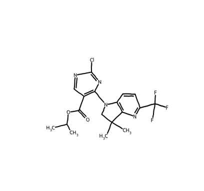 CC(C)OC(=O)c1cnc(Cl)nc1N1CC(C)(C)c2nc(C(F)(F)F)ccc21